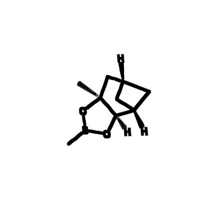 CB1O[C@@H]2[C@H]3C[C@@H](C[C@]2(C)O1)C3